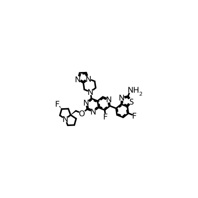 Nc1nc2c(-c3ncc4c(N5CCn6ccnc6C5)nc(OC[C@@]56CCCN5C[C@H](F)C6)nc4c3F)ccc(F)c2s1